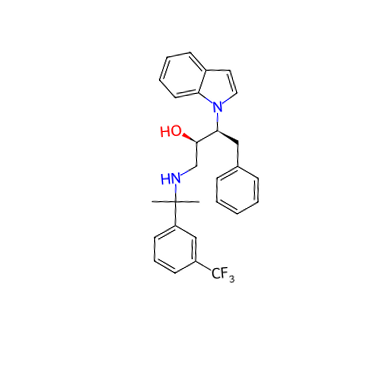 CC(C)(NC[C@@H](O)[C@H](Cc1ccccc1)n1ccc2ccccc21)c1cccc(C(F)(F)F)c1